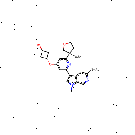 CO[C@@]1(c2cc(O[C@H]3C[C@H](O)C3)cc(-c3cn(C)c4cnc(NC(C)=O)cc34)n2)CCOC1